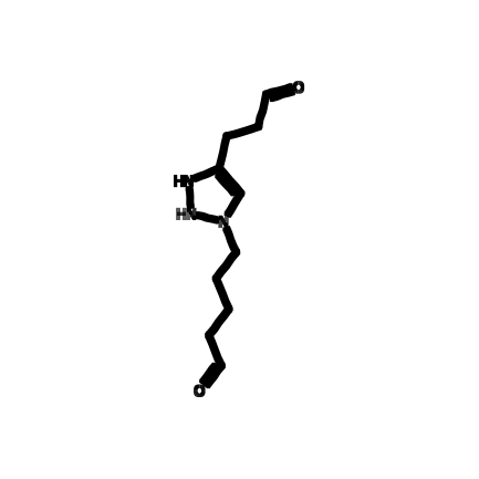 O=CCCCCN1C=C(CCC=O)NN1